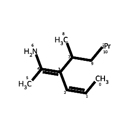 C/C=C\C(=C(/C)N)C(C)CC(C)C